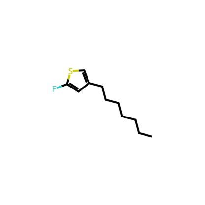 CCCCCCCc1csc(F)c1